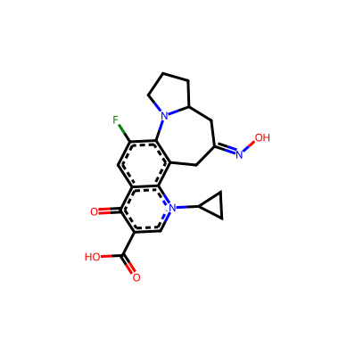 O=C(O)c1cn(C2CC2)c2c3c(c(F)cc2c1=O)N1CCCC1C/C(=N\O)C3